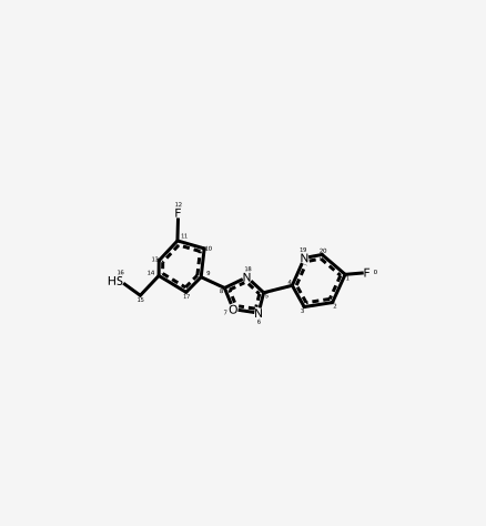 Fc1ccc(-c2noc(-c3cc(F)cc(CS)c3)n2)nc1